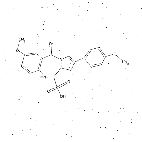 COc1ccc(C2=CN3C(=O)c4cc(OC)ccc4NC(S(=O)(=O)O)C3C2)cc1